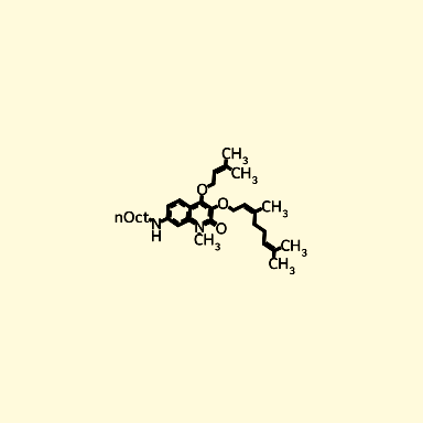 CCCCCCCCNc1ccc2c(OCC=C(C)C)c(OCC=C(C)CCC=C(C)C)c(=O)n(C)c2c1